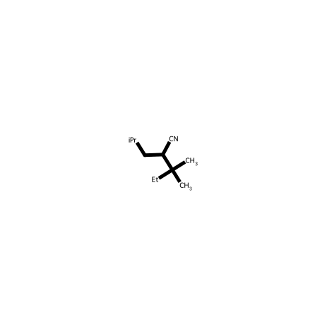 CCC(C)(C)C(C#N)CC(C)C